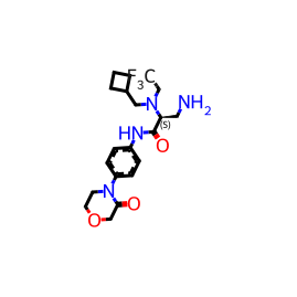 NC[C@@H](C(=O)Nc1ccc(N2CCOCC2=O)cc1)N(CC1CCC1)CC(F)(F)F